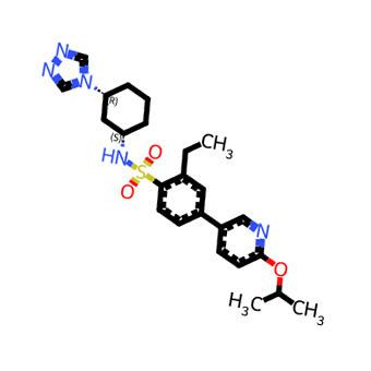 CCc1cc(-c2ccc(OC(C)C)nc2)ccc1S(=O)(=O)N[C@H]1CCC[C@@H](n2cnnc2)C1